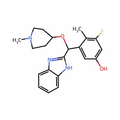 Cc1c(F)cc(O)cc1C(OC1CCN(C)CC1)c1nc2ccccc2[nH]1